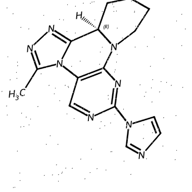 Cc1nnc2n1-c1cnc(-n3ccnc3)nc1N1CCCC[C@H]21